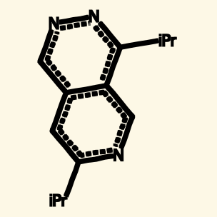 CC(C)c1cc2cnnc(C(C)C)c2cn1